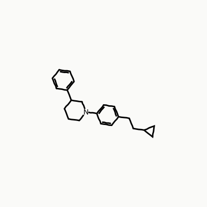 c1ccc(C2CCCN(c3ccc(CCC4CC4)cc3)C2)cc1